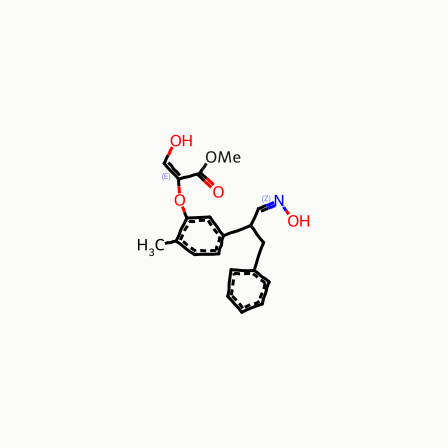 COC(=O)/C(=C\O)Oc1cc(C(/C=N\O)Cc2ccccc2)ccc1C